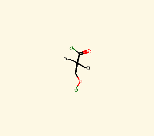 CCC(CC)(COCl)C(=O)Cl